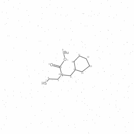 CC(C)(C)OC(=O)N(CCS)CC1CCCCC1